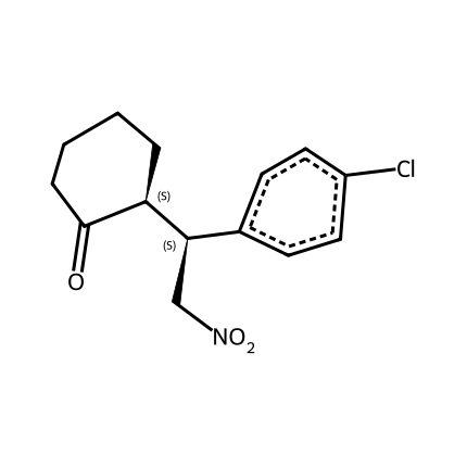 O=C1CCCC[C@H]1[C@H](C[N+](=O)[O-])c1ccc(Cl)cc1